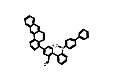 CN(c1ccc(-c2ccccc2)cc1)c1ccccc1-c1ccc(-c2cccc3c2ccc2cc4ccccc4cc23)cc1C=O